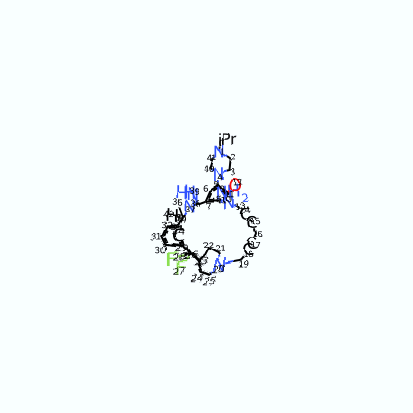 CC(C)N1CCN(c2cc3c(N)n(c2=O)CCCCCCCN2CCC(CC2)C(F)(F)c2cccc(c2)[C@@H](C)NC3=N)CC1